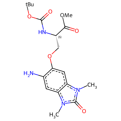 COC(=O)[C@H](COc1cc2c(cc1N)n(C)c(=O)n2C)NC(=O)OC(C)(C)C